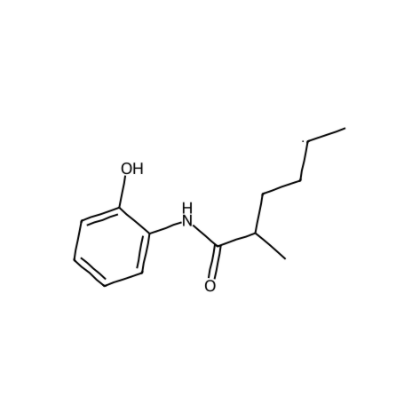 C[CH]CCC(C)C(=O)Nc1ccccc1O